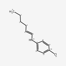 [CH2]CCCC=CNc1ccc(Cl)cc1